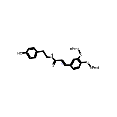 CCCCCOc1ccc(/C=C/C(=O)NCCc2ccc(O)cc2)cc1SCCCCC